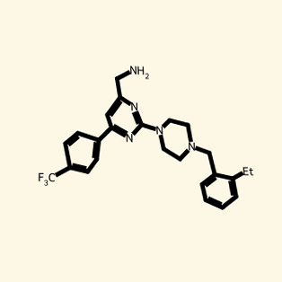 CCc1ccccc1CN1CCN(c2nc(CN)cc(-c3ccc(C(F)(F)F)cc3)n2)CC1